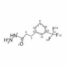 NNC(=O)CCc1cccc(C(F)(F)F)c1